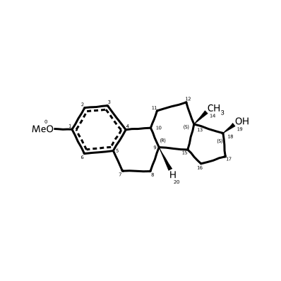 COc1ccc2c(c1)CC[C@@H]1C2CC[C@@]2(C)C1CC[C@@H]2O